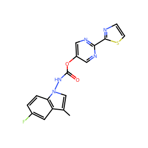 Cc1cn(NC(=O)Oc2cnc(-c3nccs3)nc2)c2ccc(F)cc12